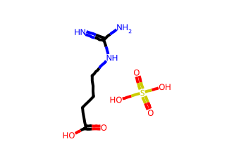 N=C(N)NCCCC(=O)O.O=S(=O)(O)O